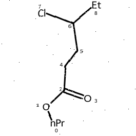 CCCOC(=O)CCC(Cl)CC